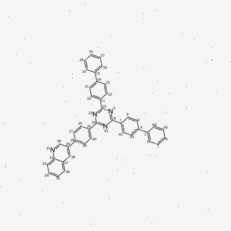 c1ccc(-c2ccc(-c3nc(-c4ccc(-c5ccccc5)cc4)nc(-c4ccc(-c5cnc6ccccc6c5)cc4)n3)cc2)cc1